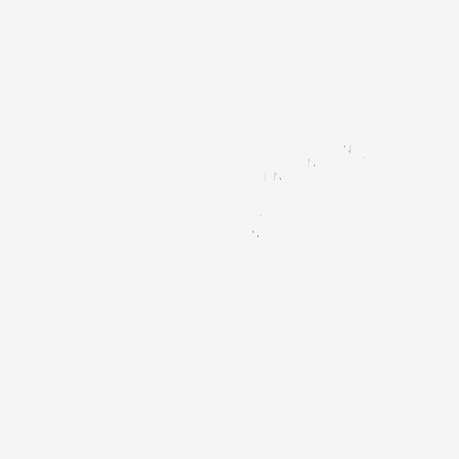 Nc1ccc(-c2cc(Cc3ccc(OCC4CC4)cc3)no2)c(N)n1